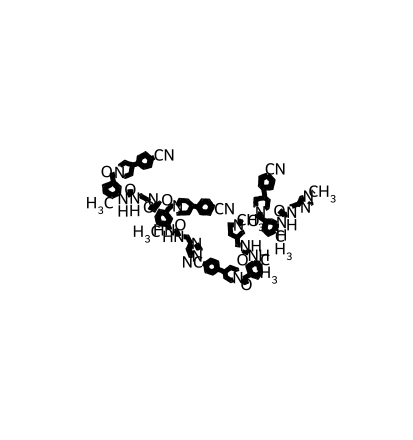 Cc1ccc(C(=O)N2CCC(c3ccc(C#N)cc3)CC2)cc1NC(=O)NCC1CCN(C)C1.Cc1ccc(C(=O)N2CCC(c3ccc(C#N)cc3)CC2)cc1NC(=O)NCc1ccncn1.Cc1ccc(C(=O)N2CCC(c3ccc(C#N)cc3)CC2)cc1NC(=O)NCc1cn(C)cn1.Cc1ccc(C(=O)N2CCC(c3ccc(C#N)cc3)CC2)cc1NC(=O)NCc1ncco1